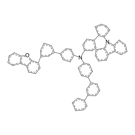 c1ccc(-c2cccc(-c3ccc(N(c4ccc(-c5cccc(-c6cccc7c6oc6ccccc67)c5)cc4)c4ccc(-c5ccccc5-n5c6ccccc6c6ccccc65)cc4)cc3)c2)cc1